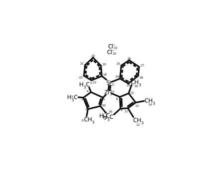 CC1=C(C)C(C)[C]([Zr+2]([C]2=C(C)C(C)=C(C)C2C)=[Si](c2ccccc2)c2ccccc2)=C1C.[Cl-].[Cl-]